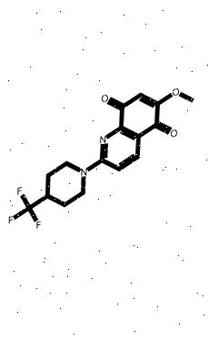 COC1=CC(=O)c2nc(N3CCC(C(F)(F)F)CC3)ccc2C1=O